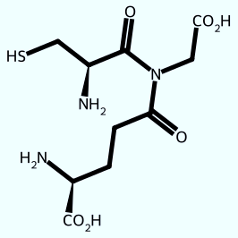 N[C@@H](CCC(=O)N(CC(=O)O)C(=O)[C@@H](N)CS)C(=O)O